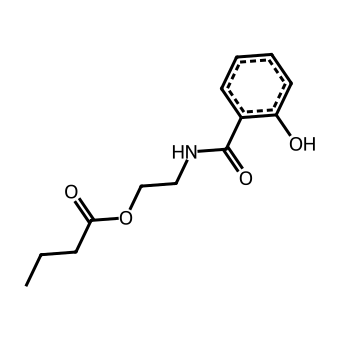 CCCC(=O)OCCNC(=O)c1ccccc1O